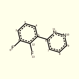 Fc1cccc(-c2cc[c]nn2)c1F